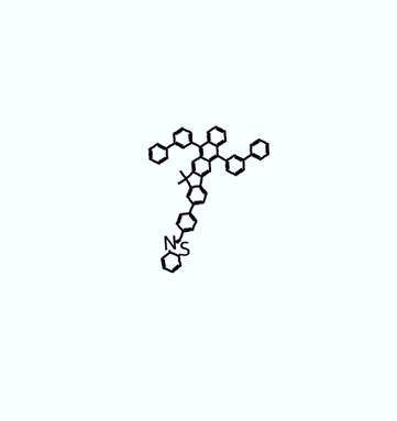 CC1(C)c2cc(-c3ccc(C4=NC5C=CC=CC5S4)cc3)ccc2-c2cc3c(-c4cccc(-c5ccccc5)c4)c4ccccc4c(-c4cccc(-c5ccccc5)c4)c3cc21